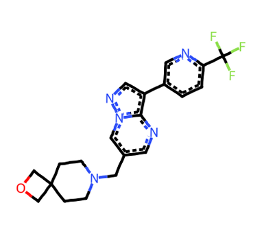 FC(F)(F)c1ccc(-c2cnn3cc(CN4CCC5(CC4)COC5)cnc23)cn1